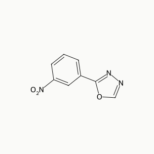 O=[N+]([O-])c1cccc(-c2nnco2)c1